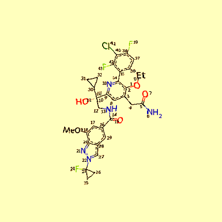 CCOc1c(CC(N)=O)cc([C@@](O)(CNC(=O)c2cc(OC)c3nn(C4(F)CC4)cc3c2)C2CC2)nc1-c1ccc(F)c(Cl)c1F